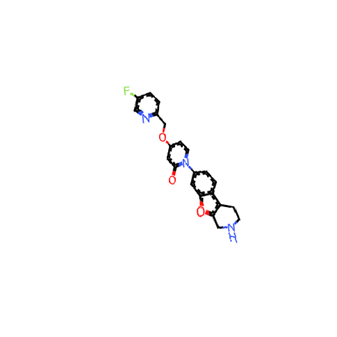 O=c1cc(OCc2ccc(F)cn2)ccn1-c1ccc2c3c(oc2c1)CNCC3